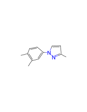 Cc1ccn(-c2ccc(C)c(C)c2)n1